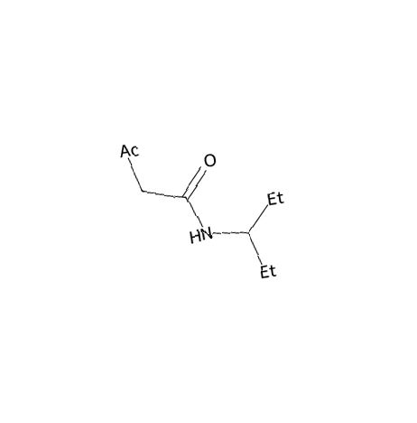 CCC(CC)NC(=O)CC(C)=O